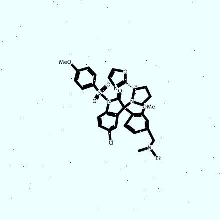 CCN(C)Cc1ccc(C2(N3CCC[C@H]3c3ncco3)C(=O)N(S(=O)(=O)c3ccc(OC)cc3)c3ccc(Cl)cc32)c(OC)c1